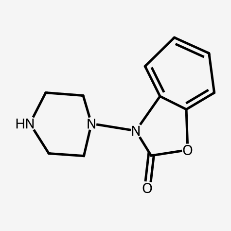 O=c1oc2ccccc2n1N1CCNCC1